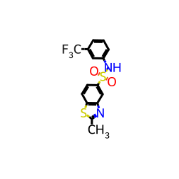 Cc1nc2cc(S(=O)(=O)Nc3cccc(C(F)(F)F)c3)ccc2s1